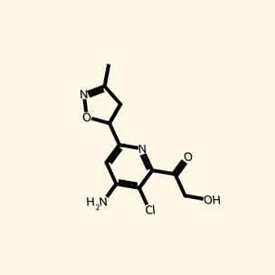 CC1=NOC(c2cc(N)c(Cl)c(C(=O)CO)n2)C1